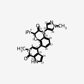 CC(C)C1Oc2c(-c3cn(C)c(=O)c4[nH]ccc34)cccc2N(c2cnn(C)c2)C1=O